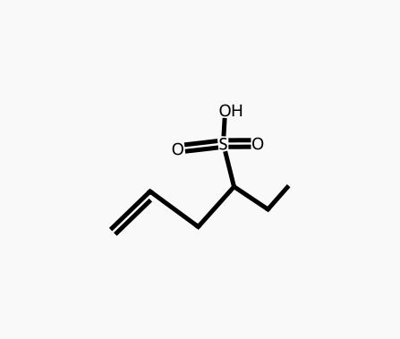 C=CCC(CC)S(=O)(=O)O